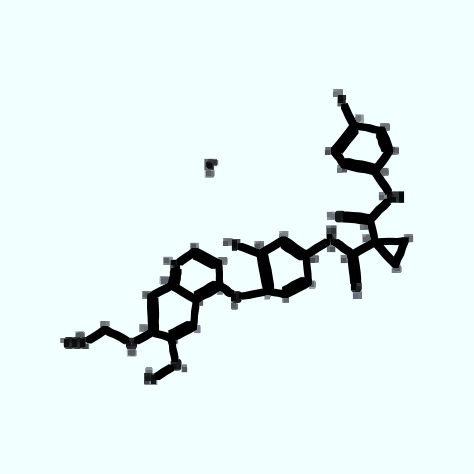 CCOc1cc2c(Oc3ccc(NC(=O)C4(C(=O)Nc5ccc(F)cc5)CC4)cc3F)ccnc2cc1OCC(=O)[O-].[K+]